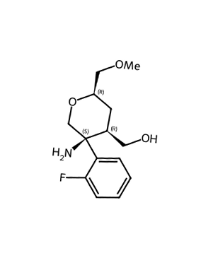 COC[C@H]1C[C@@H](CO)[C@](N)(c2ccccc2F)CO1